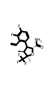 C=Cc1c(C2[C@H](C(N)=O)O[C@@](C)(C(F)(F)F)[C@H]2C)ccc(F)c1F